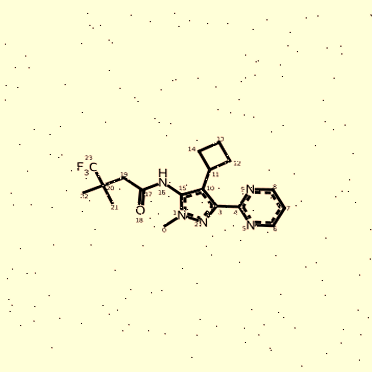 Cn1nc(-c2ncccn2)c(C2CCC2)c1NC(=O)CC(C)(C)C(F)(F)F